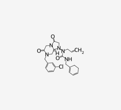 C=CCN(C(=O)NCC1=CC=CCC1)N1CC(=O)N2CC(=O)N(Cc3cccc(Cl)c3)C[C@@H]21